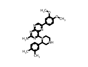 COc1ccc(-c2cnc3nc(N)nc(N4CCNCC4c4ccc(C)c(C)c4)c3n2)cc1OC